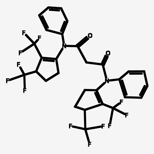 O=C(CC(=O)N(C1=C(C(F)(F)F)C(C(F)(F)F)CC1)c1ccccc1)N(C1=C(C(F)(F)F)C(C(F)(F)F)CC1)c1ccccc1